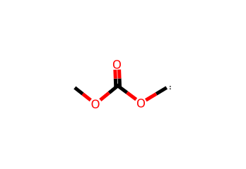 [CH]OC(=O)OC